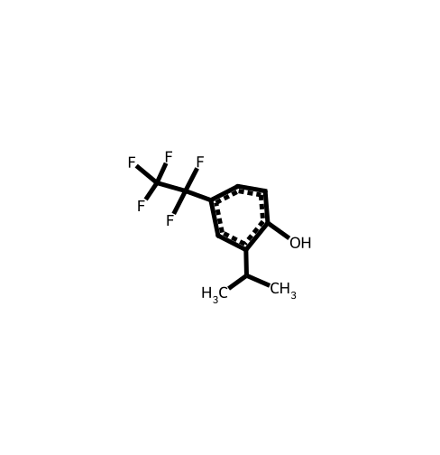 CC(C)c1cc(C(F)(F)C(F)(F)F)ccc1O